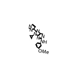 COc1cccc(Nc2ncc3nc(-c4ccncn4)n(C4CC4)c3n2)c1